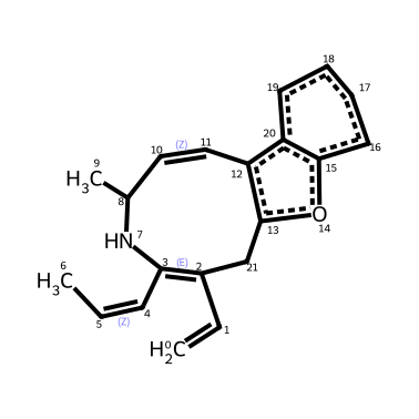 C=C/C1=C(\C=C/C)NC(C)/C=C\c2c(oc3ccccc23)C1